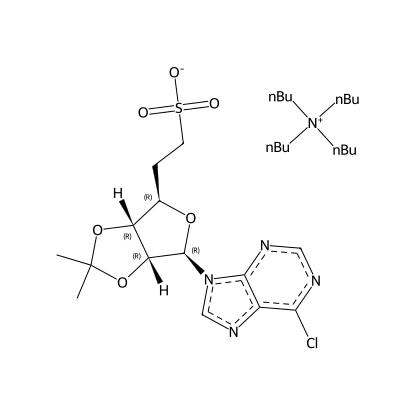 CC1(C)O[C@@H]2[C@H](O1)[C@@H](CCS(=O)(=O)[O-])O[C@H]2n1cnc2c(Cl)ncnc21.CCCC[N+](CCCC)(CCCC)CCCC